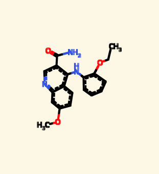 CCOc1ccccc1Nc1c(C(N)=O)cnc2cc(OC)ccc12